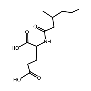 CCCC(C)CC(=O)NC(CCC(=O)O)C(=O)O